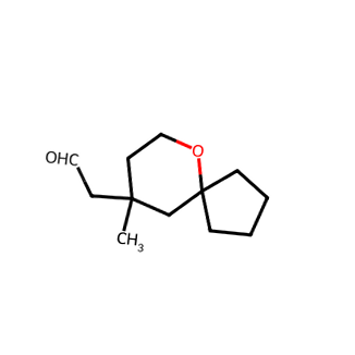 CC1(CC=O)CCOC2(CCCC2)C1